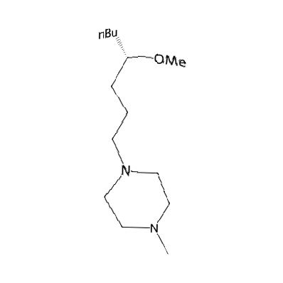 CCCC[C@@H](CCCN1CCN(C)CC1)OC